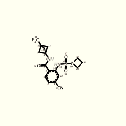 N#Cc1ccc(C(=O)NC23CC(C(F)(F)F)(C2)C3)c(NS(=O)(=O)N2CCC2)c1